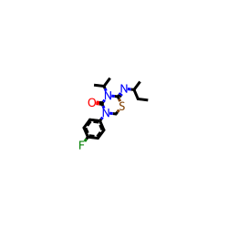 CCC(C)/N=C1\SCN(c2ccc(F)cc2)C(=O)N1C(C)C